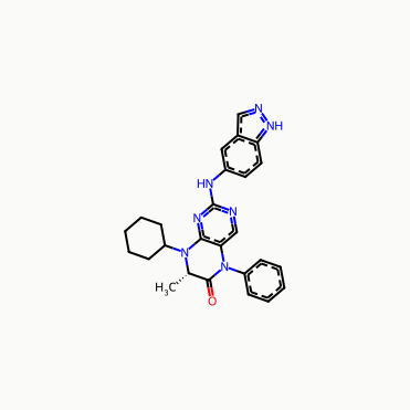 C[C@H]1C(=O)N(c2ccccc2)c2cnc(Nc3ccc4[nH]ncc4c3)nc2N1C1CCCCC1